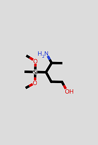 CO[Si](C)(OC)C(CCO)C(C)N